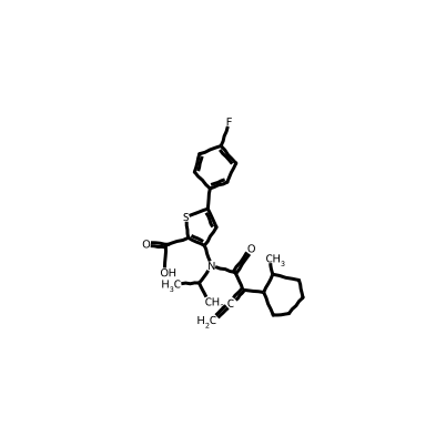 C=C=C(C(=O)N(c1cc(-c2ccc(F)cc2)sc1C(=O)O)C(C)C)C1CCCCC1C